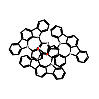 c1ccc(-n2c3ccccc3c3ccc4c5ccccc5n(Cc5nc(-n6c7ccccc7c7ccc8c9ccccc9n(-c9ccccc9)c8c76)nc(-n6c7ccccc7c7ccc8c9ccccc9n(-c9ccccc9)c8c76)n5)c4c32)cc1